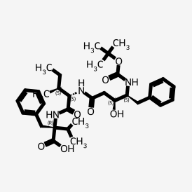 CC[C@H](C)[C@H](NC(=O)C[C@H](O)[C@H](Cc1ccccc1)NC(=O)OC(C)(C)C)C(=O)N[C@@](Cc1ccccc1)(C(=O)O)C(C)C